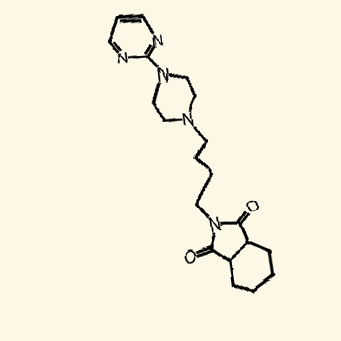 O=C1C2CCCCC2C(=O)N1CCCCN1CCN(c2ncccn2)CC1